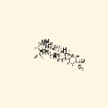 COC(=O)C1CC=C(C2=CC[C@]3(C)[C@H]4CC[C@@H]5[C@H]6[C@H](C(C)C)CC[C@]6(N)CC[C@@]5(C)[C@]4(C)CC[C@H]3C2(C)C)CC1